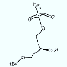 CC(C)(C)OC[C@@H](COS(=O)(=O)C(F)(F)F)C(=O)O